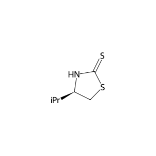 CC(C)[C@@H]1CSC(=S)N1